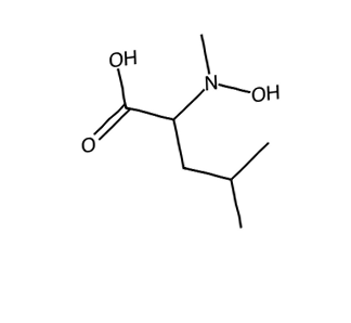 CC(C)CC(C(=O)O)N(C)O